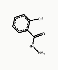 NNC(=O)c1ccccc1O